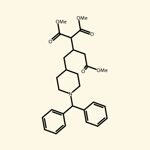 COC(=O)CC(CC1CCN(C(c2ccccc2)c2ccccc2)CC1)C(C(=O)OC)C(=O)OC